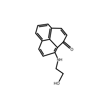 O=C1C=Cc2cccc3ccc(NCCO)c1c23